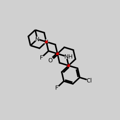 O=C(CN1CC2CC(C1)N2CC(F)C1CCCCC1)Nc1cc(F)cc(Cl)c1